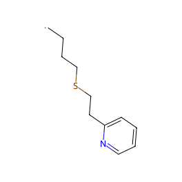 [CH2]CCCSCCc1ccccn1